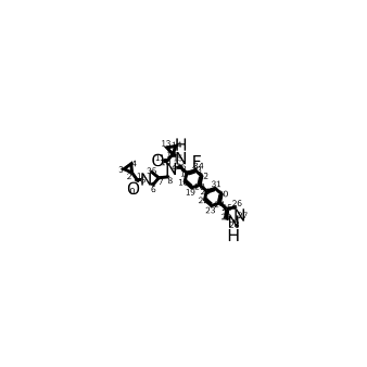 O=C(C1CC1)N1CC(CN2C(=O)C3(CC3)NC2c2ccc(-c3ccc(-c4cn[nH]c4)cc3)cc2F)C1